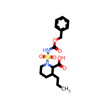 CCCC1CCCN(S(=O)(=O)NC(=O)OCc2ccccc2)C1C(=O)O